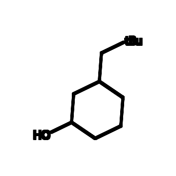 CC(C)(C)CC1CCCC(O)C1